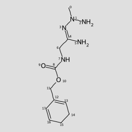 CN(N)/N=C(\N)CNC(=O)OCC1=CCCC=C1